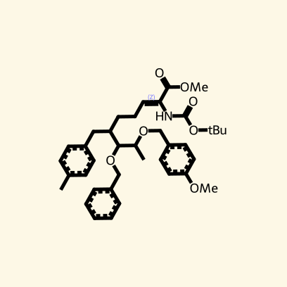 COC(=O)/C(=C/CCC(Cc1ccc(C)cc1)C(OCc1ccccc1)C(C)OCc1ccc(OC)cc1)NC(=O)OC(C)(C)C